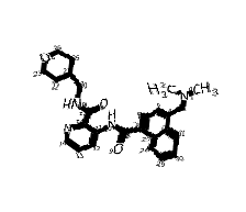 CN(C)Cc1ccc(C(=O)Nc2cccnc2C(=O)NCC2CCOCC2)c2ccccc12